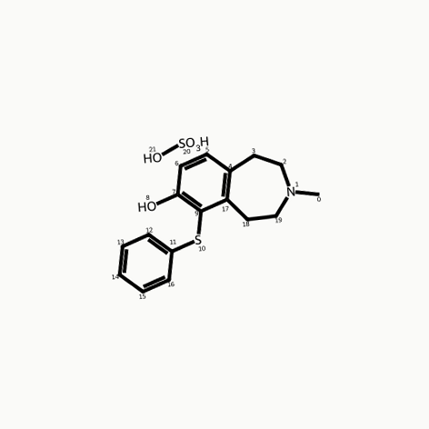 CN1CCc2ccc(O)c(Sc3ccccc3)c2CC1.O=S(=O)(O)O